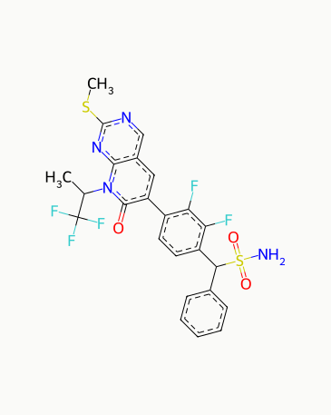 CSc1ncc2cc(-c3ccc(C(c4ccccc4)S(N)(=O)=O)c(F)c3F)c(=O)n(C(C)C(F)(F)F)c2n1